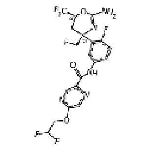 NC1=N[C@](CF)(c2cc(NC(=O)c3cnc(OCC(F)F)cn3)ccc2F)C[C@@H](C(F)(F)F)O1